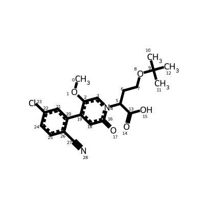 COc1cn(C(CCOC(C)(C)C)C(=O)O)c(=O)cc1-c1cc(Cl)ccc1C#N